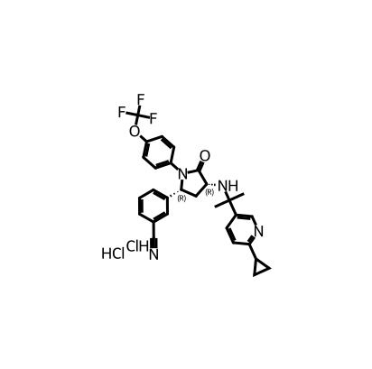 CC(C)(N[C@@H]1C[C@H](c2cccc(C#N)c2)N(c2ccc(OC(F)(F)F)cc2)C1=O)c1ccc(C2CC2)nc1.Cl.Cl